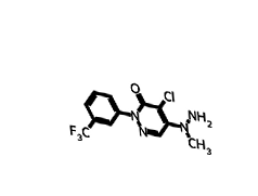 CN(N)c1cnn(-c2cccc(C(F)(F)F)c2)c(=O)c1Cl